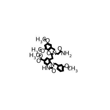 COC(=O)c1cc(CC(=O)N(CC(N)=O)Cc2cc(OC)cc(OC)c2)c2c(c1)[nH]c(=O)n2Cc1cccc(OC)c1